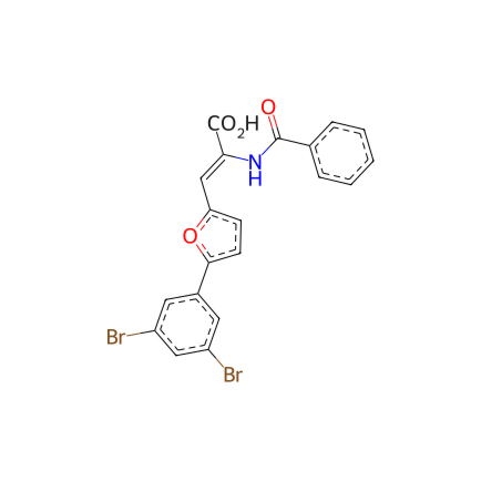 O=C(O)C(=Cc1ccc(-c2cc(Br)cc(Br)c2)o1)NC(=O)c1ccccc1